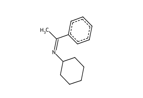 CC(=NC1CCCCC1)c1ccccc1